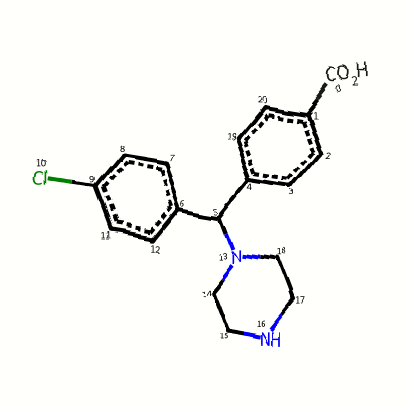 O=C(O)c1ccc(C(c2ccc(Cl)cc2)N2CCNCC2)cc1